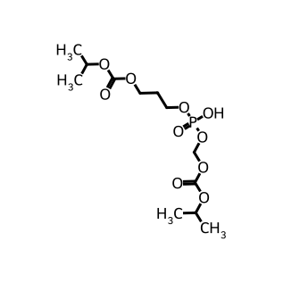 CC(C)OC(=O)OCCCOP(=O)(O)OCOC(=O)OC(C)C